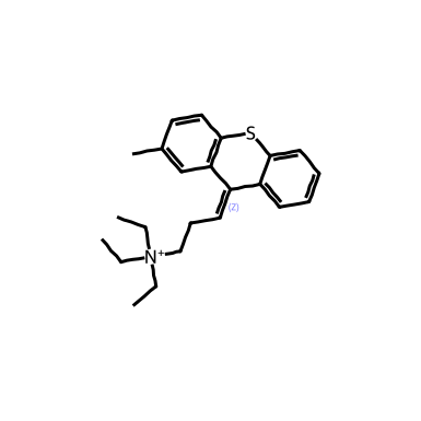 CC[N+](CC)(CC)CC/C=C1/c2ccccc2Sc2ccc(C)cc21